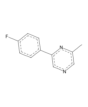 Cc1cncc(-c2ccc(F)cc2)n1